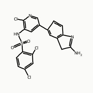 NC1=Nc2ccc(-c3cnc(Cl)c(NS(=O)(=O)c4ccc(Cl)cc4Cl)c3)cc2C1